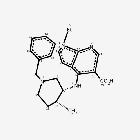 CCn1ccc2c(N[C@H]3CN(Cc4ccccc4)CC[C@H]3C)c(C(=O)O)cnc21